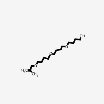 C=C(C)COCCCCOCCCCOCCCCO